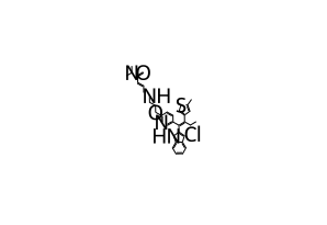 CC/C(=C(/c1ccc(OCCNC/C=C/C(=O)N(C)C)nc1)c1[nH]c2ccccc2c1Cl)c1csc(C)c1